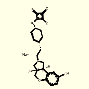 N#Cc1ccc2c(c1)[C@@H]1CN(CC[C@H]3CC[C@H](Nc4c([O-])c(=O)c4=O)CC3)C[C@H]1CO2.[Na+]